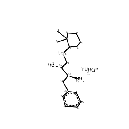 CC1(C)CCCCC1NC[C@@H](O)[C@@H](N)Cc1ccccc1.Cl.Cl